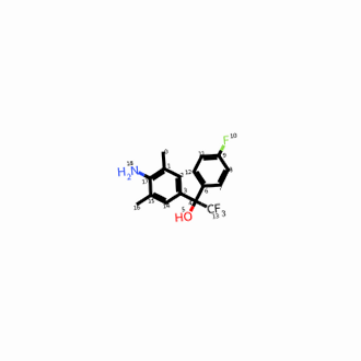 Cc1cc(C(O)(c2ccc(F)cc2)C(F)(F)F)cc(C)c1N